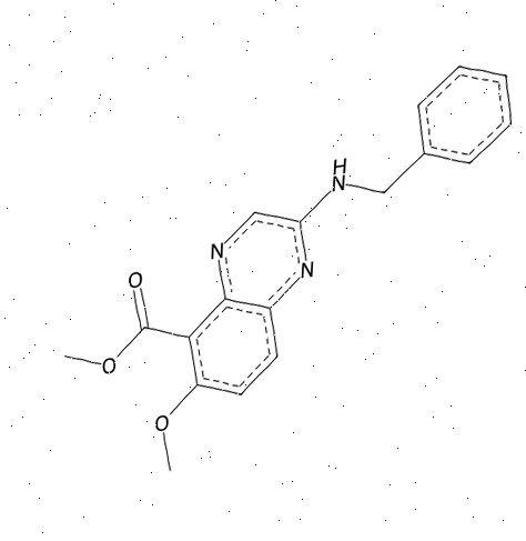 COC(=O)c1c(OC)ccc2nc(NCc3ccccc3)cnc12